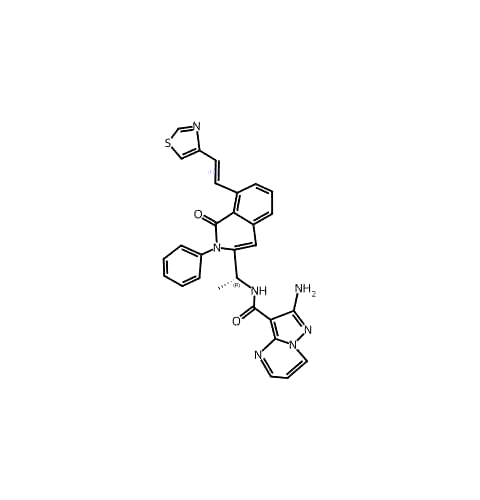 C[C@@H](NC(=O)c1c(N)nn2cccnc12)c1cc2cccc(/C=C/c3cscn3)c2c(=O)n1-c1ccccc1